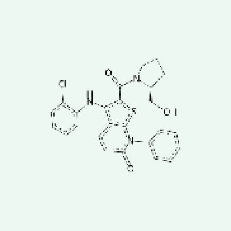 O=C(c1sc2c(ccc(=O)n2-c2ccccc2)c1Nc1ccccc1Cl)N1CCC[C@H]1CO